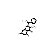 C=C(c1ccccc1)c1nc2cc(F)cc(F)c2c(Cl)c1C